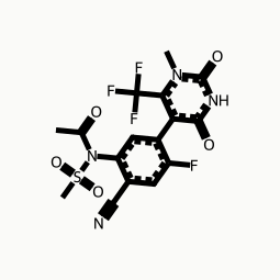 CC(=O)N(c1cc(-c2c(C(F)(F)F)n(C)c(=O)[nH]c2=O)c(F)cc1C#N)S(C)(=O)=O